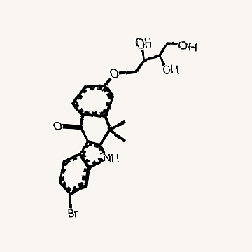 CC1(C)c2cc(OC[C@@H](O)[C@H](O)CO)ccc2C(=O)c2c1[nH]c1cc(Br)ccc21